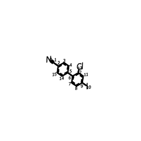 N#Cc1ccc(-c2ccc(I)cc2Cl)cc1